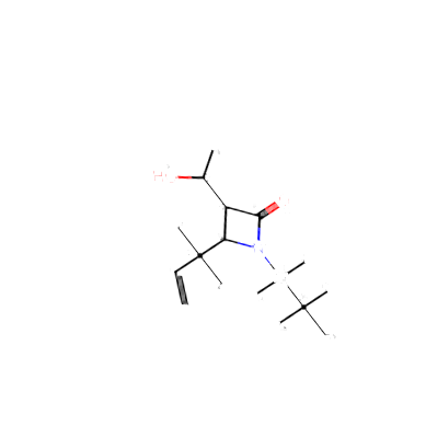 C=CC(C)(C)C1C(C(C)O)C(=O)N1[Si](C)(C)C(C)(C)C